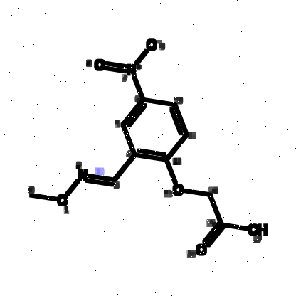 CO/N=C/c1cc([N+](=O)[O-])ccc1OCC(=O)O